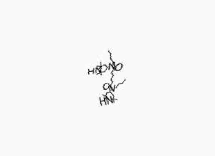 CCCCN(C(=O)CCCCC(=O)N(CCCC)C1CC(C)(C)NC(C)(C)C1)C1CC(C)(C)NC(C)(C)C1